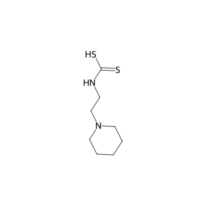 S=C(S)NCCN1CCCCC1